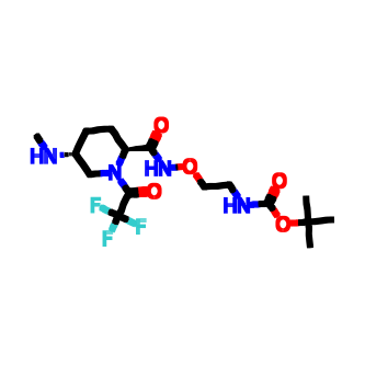 CN[C@@H]1CC[C@@H](C(=O)NOCCNC(=O)OC(C)(C)C)N(C(=O)C(F)(F)F)C1